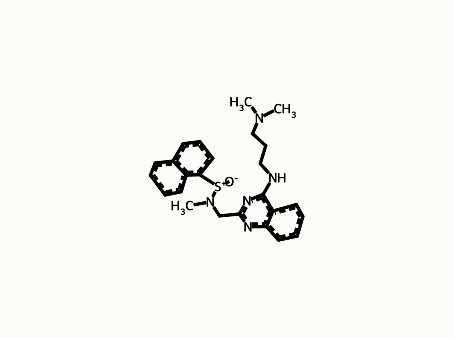 CN(C)CCCNc1nc(CN(C)[S+]([O-])c2cccc3ccccc23)nc2ccccc12